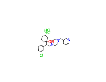 Cl.Cl.OC1(C(CN2CCN(Cc3cccnc3)CC2)c2cccc(Cl)c2)CCCCC1